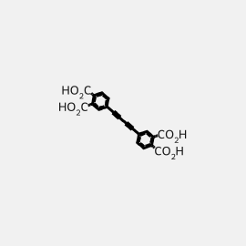 O=C(O)c1ccc(C#CC#Cc2ccc(C(=O)O)c(C(=O)O)c2)cc1C(=O)O